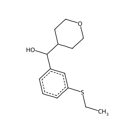 CCSc1cccc(C(O)C2CCOCC2)c1